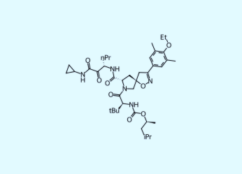 CCC[C@H](NC(=O)[C@@H]1C[C@]2(CC(c3cc(C)c(OCC)c(C)c3)=NO2)CN1C(=O)[C@@H](NC(=O)O[C@@H](C)CC(C)C)C(C)(C)C)C(=O)C(=O)NC1CC1